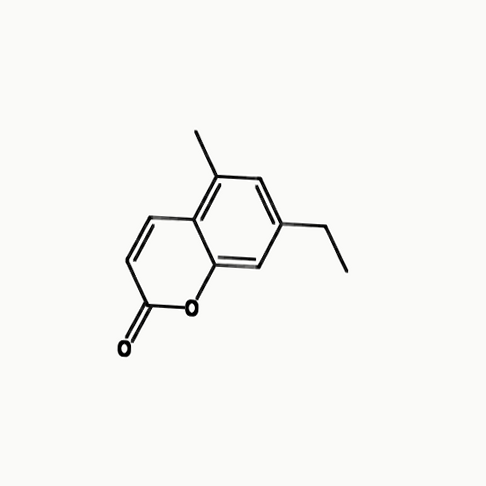 CCc1cc(C)c2ccc(=O)oc2c1